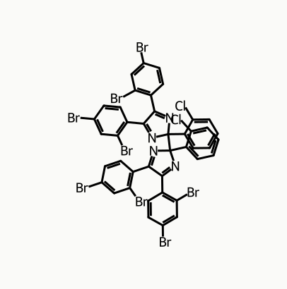 Clc1ccccc1C1(C2(c3ccccc3Cl)N=C(c3ccc(Br)cc3Br)C(c3ccc(Br)cc3Br)=N2)N=C(c2ccc(Br)cc2Br)C(c2ccc(Br)cc2Br)=N1